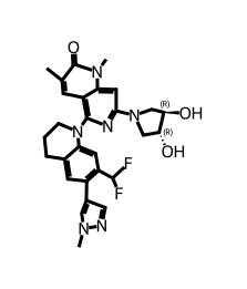 Cc1cc2c(N3CCCc4cc(-c5cnn(C)c5)c(C(F)F)cc43)nc(N3C[C@@H](O)[C@H](O)C3)cc2n(C)c1=O